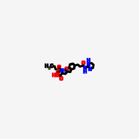 CCCS(=O)(=O)NC(Cc1cc2cc(CCC(=O)NC3=NCCCN3)ccc2o1)C(=O)O